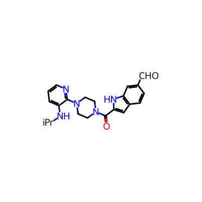 CC(C)Nc1cccnc1N1CCN(C(=O)c2cc3ccc(C=O)cc3[nH]2)CC1